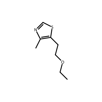 CCOCCc1scnc1C